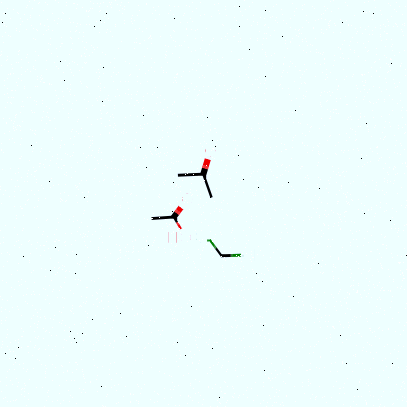 CC(=O)O.CC(C)=O.ClCCl